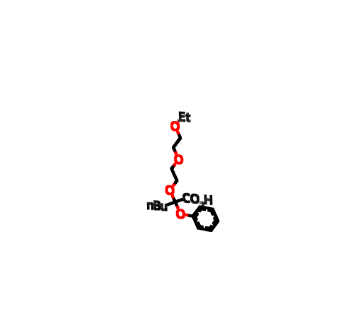 CCCCC(OCCOCCOCC)(Oc1ccccc1)C(=O)O